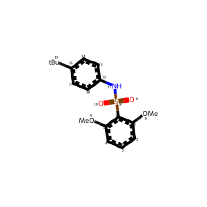 COc1cccc(OC)c1S(=O)(=O)Nc1ccc(C(C)(C)C)cc1